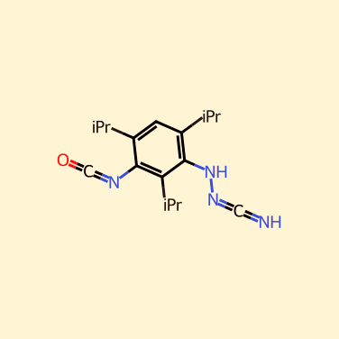 CC(C)c1cc(C(C)C)c(NN=C=N)c(C(C)C)c1N=C=O